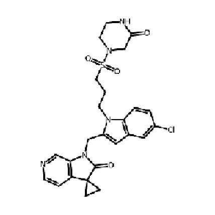 O=C1CN(S(=O)(=O)CCCn2c(CN3C(=O)C4(CC4)c4ccncc43)cc3cc(Cl)ccc32)CCN1